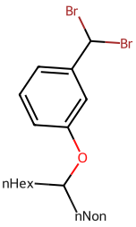 CCCCCCCCCC(CCCCCC)Oc1cccc(C(Br)Br)c1